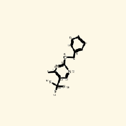 Cc1nc(OCc2ccccc2)ncc1C(F)(F)F